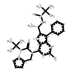 C[C@H](N[S+]([O-])C(C)(C)C)c1sc2c(N(Cc3ccco3)C(=O)OC(C)(C)C)nc(Cl)nc2c1-c1ccccc1